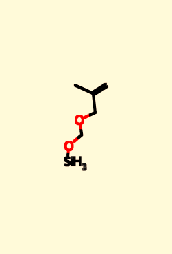 C=C(C)COCO[SiH3]